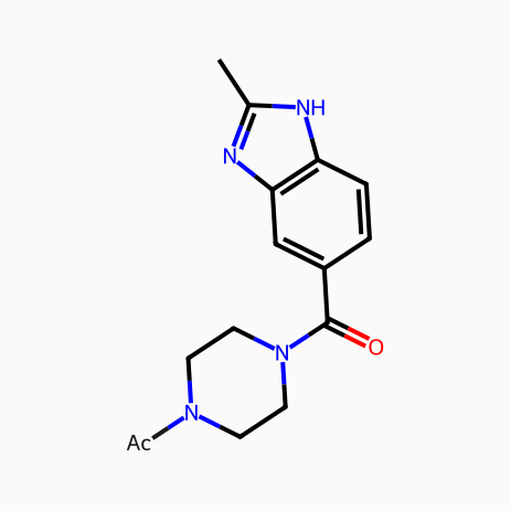 CC(=O)N1CCN(C(=O)c2ccc3[nH]c(C)nc3c2)CC1